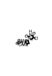 COP(=O)(COC1C=CC(n2cc(Cl)c(=O)[nH]c2=O)O1)OC